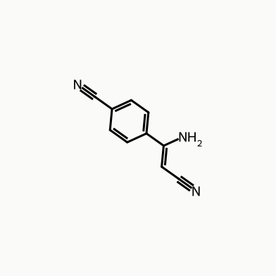 N#C/C=C(\N)c1ccc(C#N)cc1